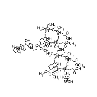 C=CC1=C(C)c2cc3[nH]c(cc4nc(cc5[nH]c(cc1n2)c(C)c5CCC(=O)O)C(CCC(=O)OC)=C4C)[C@@]1(C)C3=CC=C(C(=O)OC)[C@H]1C(=O)OC.C=CC1=C(C)c2cc3[nH]c(cc4nc(cc5[nH]c(cc1n2)c(C)c5CCC(=O)OC)C(CCC(=O)O)=C4C)[C@@]1(C)C3=CC=C(C(=O)OC)[C@H]1C(=O)OC.CN1[C@@H]2CC[C@H]1C[C@@H](OC(=O)C(CO)c1ccccc1)C2.O=S(=O)(O)O